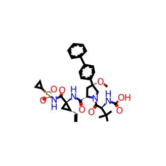 C=C[C@@H]1C[C@]1(NC(=O)[C@@H]1C[C@@](OC)(c2ccc(-c3ccccc3)cc2)CN1C(=O)[C@@H](NC(=O)O)C(C)(C)C)C(=O)NS(=O)(=O)C1CC1